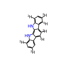 [2H]c1cc([2H])c2[nH]c3c4[nH]c5c([2H])cc([2H])c([2H])c5c4c([2H])c([2H])c3c2c1